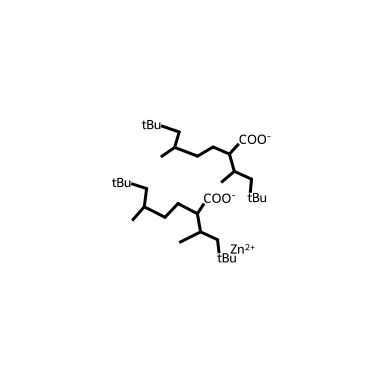 CC(CCC(C(=O)[O-])C(C)CC(C)(C)C)CC(C)(C)C.CC(CCC(C(=O)[O-])C(C)CC(C)(C)C)CC(C)(C)C.[Zn+2]